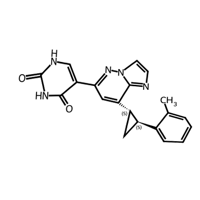 Cc1ccccc1[C@H]1C[C@@H]1c1cc(-c2c[nH]c(=O)[nH]c2=O)nn2ccnc12